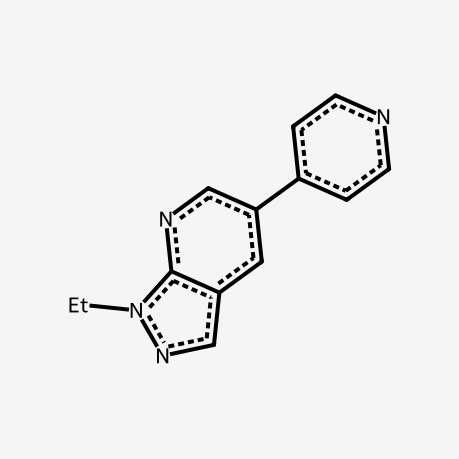 CCn1ncc2cc(-c3ccncc3)cnc21